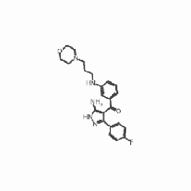 Nc1[nH]nc(-c2ccc(F)cc2)c1C(=O)c1cccc(NCCCN2CCOCC2)c1